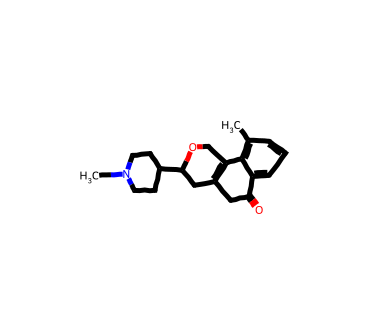 Cc1cccc2c1C1=C(CC2=O)CC(C2CCN(C)CC2)OC1